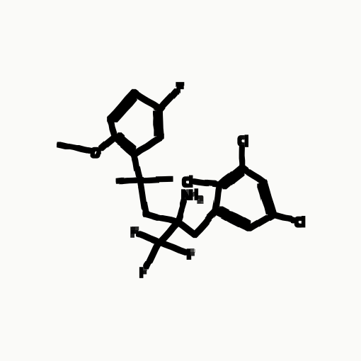 COc1ccc(F)cc1C(C)(C)CC(N)(Cc1cc(Cl)cc(Cl)c1Cl)C(F)(F)F